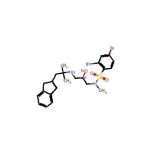 CCc1cc(Br)ccc1S(=O)(=O)N(C)C[C@H](O)CNC(C)(C)CC1Cc2ccccc2C1